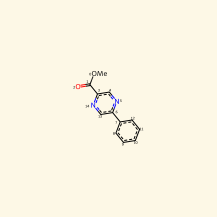 COC(=O)c1cnc(-c2ccccc2)cn1